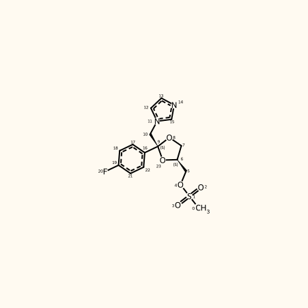 CS(=O)(=O)OC[C@@H]1CO[C@@](Cn2ccnc2)(c2ccc(F)cc2)O1